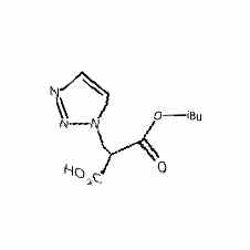 CCC(C)OC(=O)C(C(=O)O)n1ccnn1